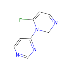 FC1=CC=NCN1c1ccncn1